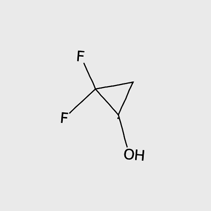 O[C]1CC1(F)F